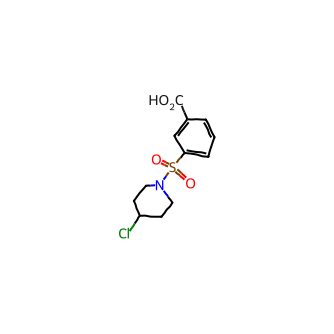 O=C(O)c1cccc(S(=O)(=O)N2CCC(Cl)CC2)c1